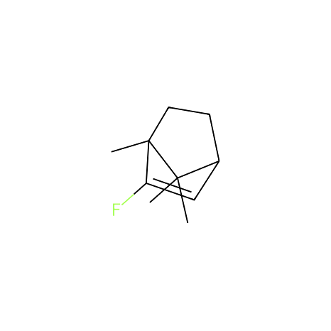 CC12CCC(C=C1F)C2(C)C